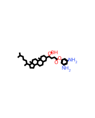 CC(C)CCCC(C)C1CCC2C3CCC4CC(C(CCC(=O)Oc5cc(N)cc(N)c5)OO)CCC4(C)C3CCC12C